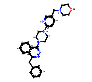 c1ccc(Cc2nnc(N3CCN(c4ccc(CN5CCOCC5)cn4)CC3)c3ccccc23)cc1